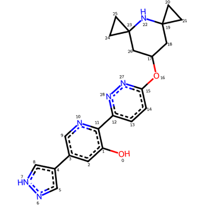 Oc1cc(-c2cn[nH]c2)cnc1-c1ccc(OC2CC3(CC3)NC3(CC3)C2)nn1